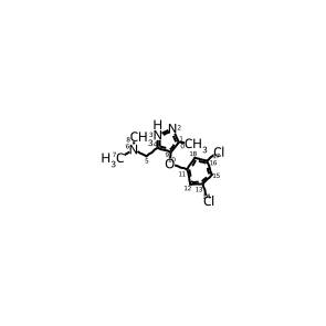 Cc1n[nH]c(CN(C)C)c1Oc1cc(Cl)cc(Cl)c1